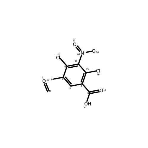 C=O.O=C(O)c1cc(F)c(Cl)c([N+](=O)[O-])c1Cl